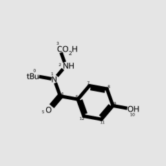 CC(C)(C)N(NC(=O)O)C(=O)c1ccc(O)cc1